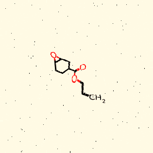 C=CCOC(=O)C1CCC2OC2C1